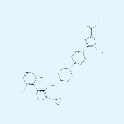 COC(=O)c1cc(-c2ccc(N3CCC(OCc4c(-c5c(Cl)cccc5Cl)noc4C4CC4)CC3)cc2)n(C)n1